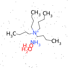 CCCC[N+](CCCC)(CCCC)CCCC.N.O.O